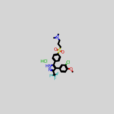 COc1ccc(-c2c(C(F)(F)F)n[nH]c2-c2ccc(S(=O)(=O)CCCN(C)C)cc2)cc1Cl.Cl